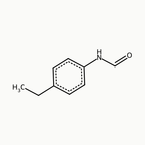 CCc1ccc(N[C]=O)cc1